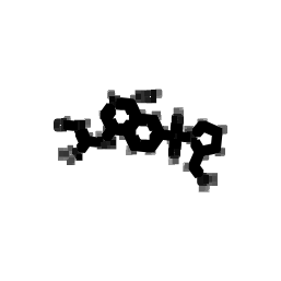 Cl.NC(=NCl)Nc1cncc2cc(S(=O)(=O)N3CCCC3CO)ccc12